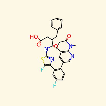 CN(C(=O)C(CC(=O)O)Cc1ccccc1)c1nc(-c2cc(F)ccc2-c2cnc3c(c2)CCC(=O)N3C)c(F)s1